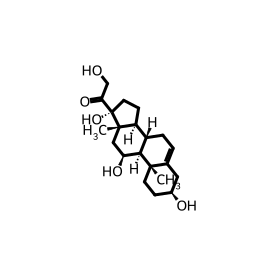 C[C@]12CC[C@H](O)CC1=CC[C@@H]1[C@@H]2[C@@H](O)C[C@@]2(C)[C@H]1CC[C@]2(O)C(=O)CO